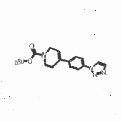 CC(C)(C)OC(=O)N1CC=C(c2ccc(-n3ccnn3)cc2)CC1